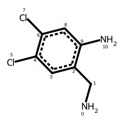 NCc1cc(Cl)c(Cl)cc1N